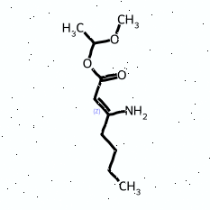 CCCC/C(N)=C/C(=O)OC(C)OC